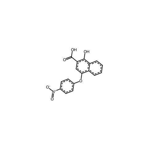 O=C(O)c1cc(Oc2ccc([N+](=O)[O-])cc2)c2ccccc2c1O